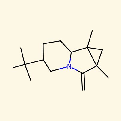 C=C1N2CC(C(C)(C)C)CCC2C2(C)CC12C